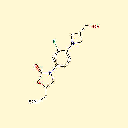 CC(=O)NC[C@H]1CN(c2ccc(N3CC(CO)C3)c(F)c2)C(=O)O1